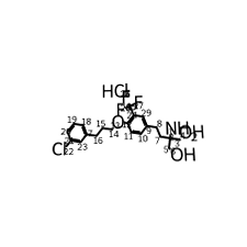 Cl.NC(CO)(CO)CCc1ccc(OCCCc2cccc(Cl)c2)c(C(F)(F)F)c1